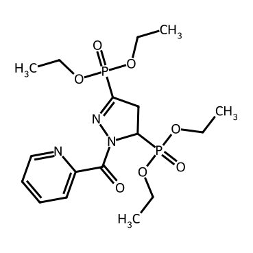 CCOP(=O)(OCC)C1=NN(C(=O)c2ccccn2)C(P(=O)(OCC)OCC)C1